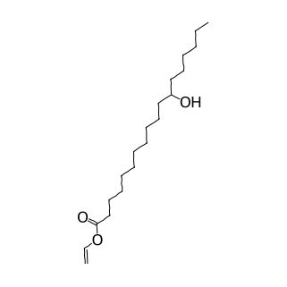 C=COC(=O)CCCCCCCCCCC(O)CCCCCC